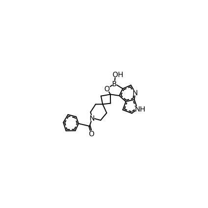 O=C(c1ccccc1)N1CCC2(CC1)CC1(C2)OB(O)c2cnc3[nH]ccc3c21